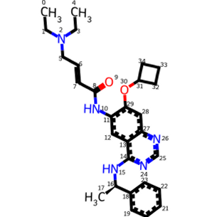 CCN(CC)CC=CC(=O)Nc1cc2c(N[C@H](C)c3ccccc3)ncnc2cc1OC1CCC1